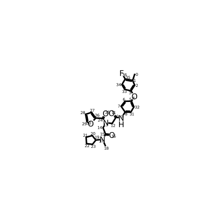 Cc1cc(Oc2ccc(NC(=O)CN(CC(=O)N(C)C3CCCC3)C(=O)c3ccco3)cc2)ccc1F